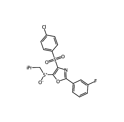 CC(C)C[S+]([O-])c1oc(-c2cccc(F)c2)nc1S(=O)(=O)c1ccc(Cl)cc1